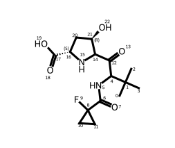 CC(C)(C)C(NC(=O)C1(F)CC1)C(=O)C1N[C@H](C(=O)O)C[C@H]1O